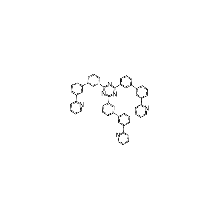 c1ccc(-c2cccc(-c3cccc(-c4nc(-c5cccc(-c6cccc(-c7ccccn7)c6)c5)nc(-c5cccc(-c6cccc(-c7ccccn7)c6)c5)n4)c3)c2)nc1